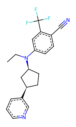 CCN(c1ccc(C#N)c(C(F)(F)F)c1)[C@H]1CC[C@@H](c2cccnc2)C1